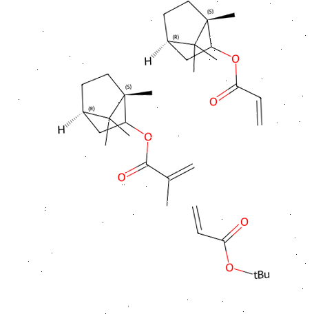 C=C(C)C(=O)OC1C[C@H]2CC[C@@]1(C)C2(C)C.C=CC(=O)OC(C)(C)C.C=CC(=O)OC1C[C@H]2CC[C@@]1(C)C2(C)C